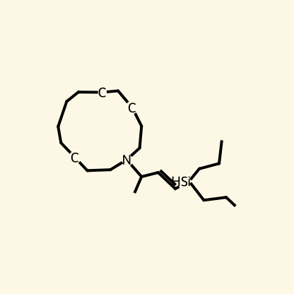 CCC[SiH](C=CC(C)N1CCCCCCCCCCCC1)CCC